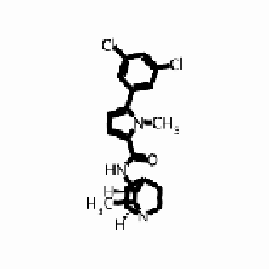 C[C@H]1[C@H](NC(=O)c2ccc(-c3cc(Cl)cc(Cl)c3)n2C)C2CCN1CC2